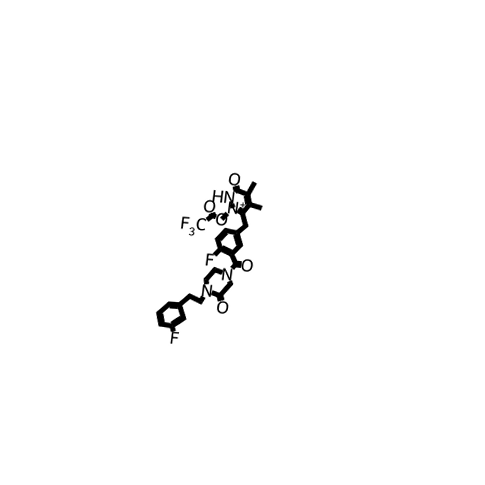 Cc1c(C)c(=O)[nH][n+](OC(=O)C(F)(F)F)c1Cc1ccc(F)c(C(=O)N2CCN(CCc3cccc(F)c3)C(=O)C2)c1